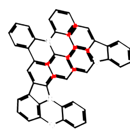 c1ccc(-c2ccccc2N(c2ccccc2-c2ccc3c(c2)c2cccc4c2n3-c2ccccc2O4)c2ccccc2-c2cccc3c2oc2ccccc23)cc1